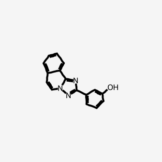 Oc1cccc(-c2nc3c4ccccc4ccn3n2)c1